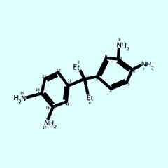 CCC(CC)(c1ccc(N)c(N)c1)c1ccc(N)c(N)c1